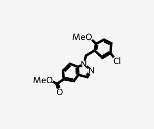 COC(=O)c1ccc2c(cnn2Cc2cc(Cl)ccc2OC)c1